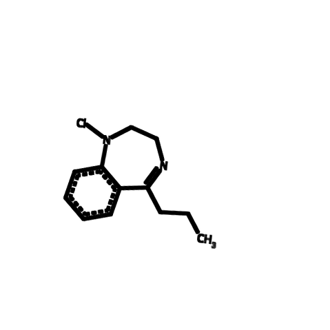 CCCC1=NCCN(Cl)c2ccccc21